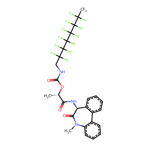 C[C@H](OC(=O)NCC(F)(F)C(F)(F)C(F)(F)C(F)(F)C(F)(F)C(F)(F)C(F)(F)F)C(=O)N[C@@H]1C(=O)N(C)c2ccccc2-c2ccccc21